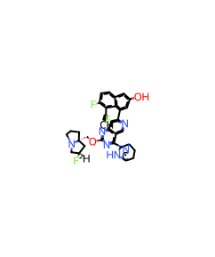 [2H][C@]1(F)CN2CCC[C@@]2(COc2nc(N3CC4CCC3CN4)c3cnc(-c4cc(O)cc5ccc(F)c(C#C)c45)c(F)c3n2)C1